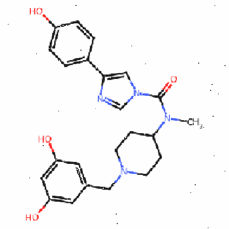 CN(C(=O)n1cnc(-c2ccc(O)cc2)c1)C1CCN(Cc2cc(O)cc(O)c2)CC1